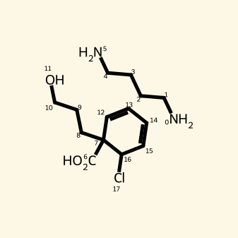 NCCCCN.O=C(O)C1(CCCO)C=CC=CC1Cl